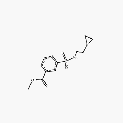 COC(=O)c1cccc(S(=O)(=O)NCCN2CC2)c1